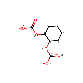 O=C(O)OC1CCCCC1OC(=O)O